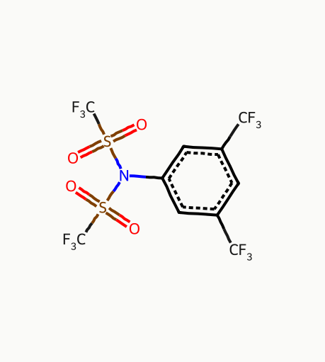 O=S(=O)(N(c1cc(C(F)(F)F)cc(C(F)(F)F)c1)S(=O)(=O)C(F)(F)F)C(F)(F)F